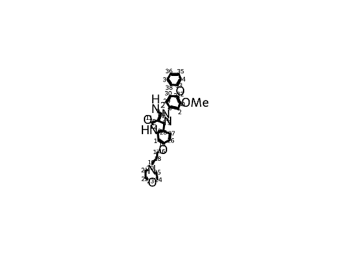 COc1cc(-n2nc3c(c2N)c(=O)[nH]c2cc(OCCCN4CCOCC4)ccc23)ccc1Oc1ccccc1